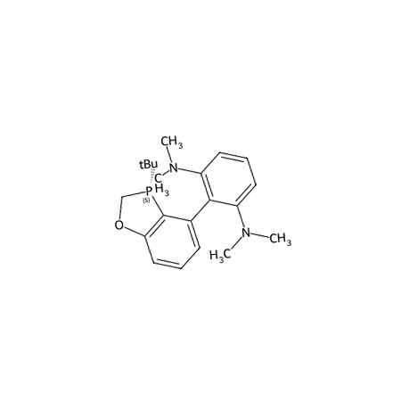 CN(C)c1cccc(N(C)C)c1-c1cccc2c1[P@@](C(C)(C)C)CO2